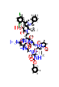 C[C@H](NC(=O)OCc1ccccc1)C(=O)NCC(=O)N[C@@H](CC(N)=O)C(=O)N[C@@H](CCN(C(=O)CO)[C@@H](c1cc(-c2cc(F)ccc2F)cn1Cc1ccccc1)C(C)(C)C)C(=O)NCCNC(=O)CN1C(=O)C=CC1=O